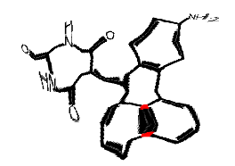 Nc1ccc(C(=C2C(=O)NC(=O)NC2=O)c2ccccc2)c(-c2ccccc2)c1